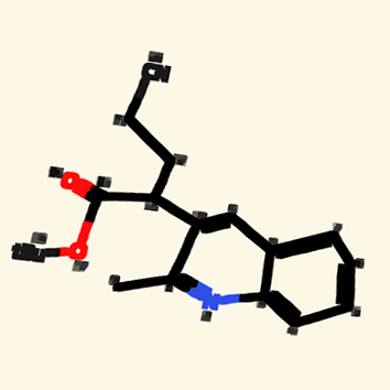 Cc1nc2ccccc2cc1C(CCC#N)C(=O)OC(C)(C)C